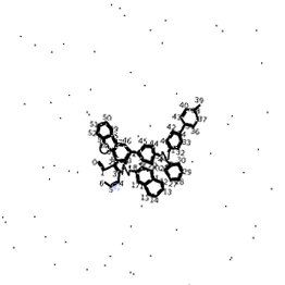 C=Cc1c(/C=C\C)n(-c2ccc3ccccc3c2)c2c(-c3ccc(N(c4ccccc4)c4ccc(C5=CCC(C)C=C5)cc4)cc3)cc3c4ccccc4oc3c12